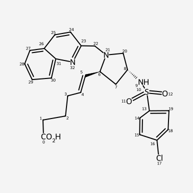 O=C(O)CCCC=C[C@@H]1C[C@@H](NS(=O)(=O)c2ccc(Cl)cc2)CN1Cc1ccc2ccccc2n1